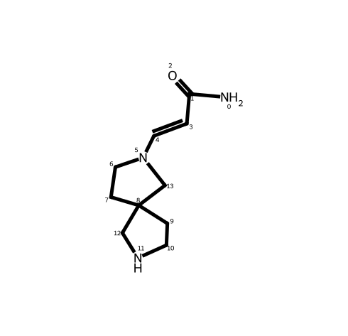 NC(=O)C=CN1CCC2(CCNC2)C1